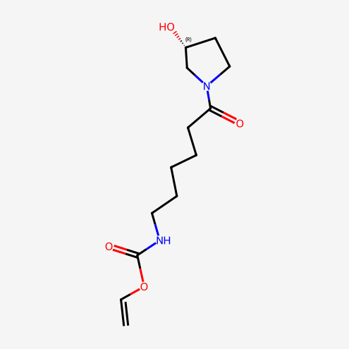 C=COC(=O)NCCCCCC(=O)N1CC[C@@H](O)C1